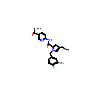 COC(=O)c1ccc(NC(=O)c2cc(CC(C)C)cn2Cc2ccc(F)c(C(F)(F)F)c2)nc1